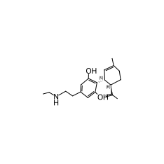 C=C(C)[C@@H]1CCC(C)=C[C@H]1c1c(O)cc(CCNCC)cc1O